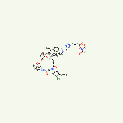 COc1ccc(C[C@H]2NC(=O)/C=C/C[C@@H]([C@H](C)[C@@H](C)[C@H](C)c3ccc(CN(C)Cc4cn(CCCC(=O)ON5C(=O)CCC5=O)nn4)cc3)OC(=O)[C@H](CC(C)C)OC(=O)C(C)(C)CNC2=O)cc1Cl